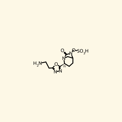 NCCc1nnc([C@@H]2CCC3CN2C(=O)N3OS(=O)(=O)O)o1